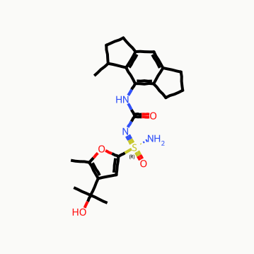 Cc1oc([S@](N)(=O)=NC(=O)Nc2c3c(cc4c2C(C)CC4)CCC3)cc1C(C)(C)O